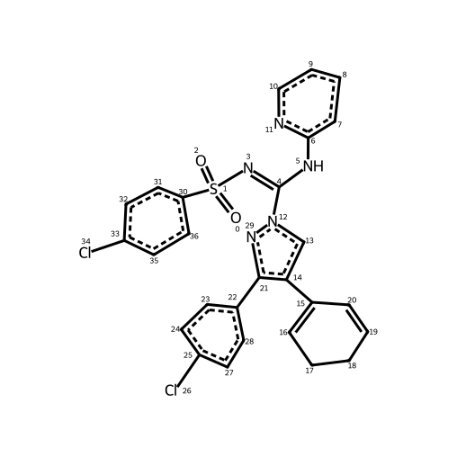 O=S(=O)(N=C(Nc1ccccn1)n1cc(C2=CCCC=C2)c(-c2ccc(Cl)cc2)n1)c1ccc(Cl)cc1